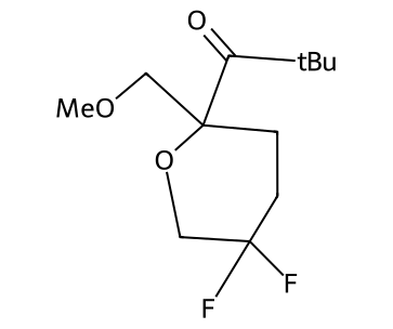 COCC1(C(=O)C(C)(C)C)CCC(F)(F)CO1